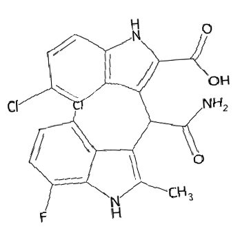 Cc1[nH]c2c(F)ccc(Cl)c2c1C(C(N)=O)c1c(C(=O)O)[nH]c2ccc(Cl)cc12